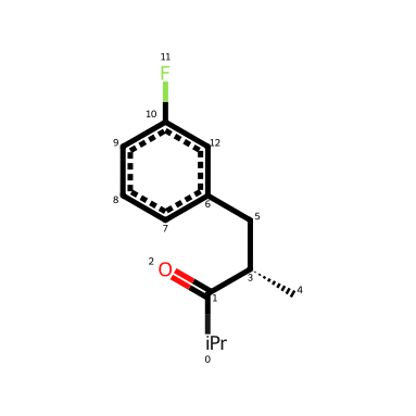 CC(C)C(=O)[C@@H](C)Cc1cccc(F)c1